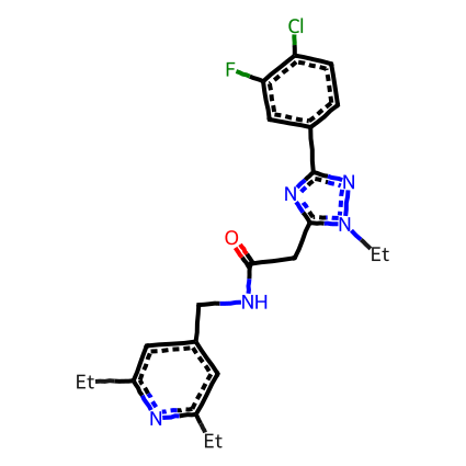 CCc1cc(CNC(=O)Cc2nc(-c3ccc(Cl)c(F)c3)nn2CC)cc(CC)n1